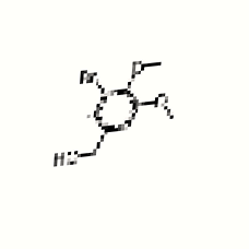 COc1cc(CO)[c]c(Br)c1OC